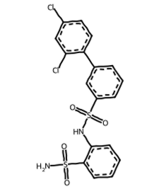 NS(=O)(=O)c1ccccc1NS(=O)(=O)c1cccc(-c2ccc(Cl)cc2Cl)c1